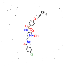 CC#CCOc1ccc(S(=O)(=O)NC(CCCNC(=O)c2ccc(Cl)cc2)C(=O)NO)cc1